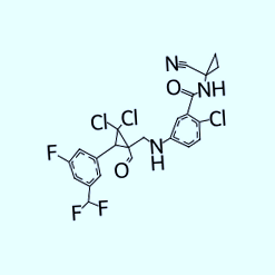 N#CC1(NC(=O)c2cc(NCC3(C=O)C(c4cc(F)cc(C(F)F)c4)C3(Cl)Cl)ccc2Cl)CC1